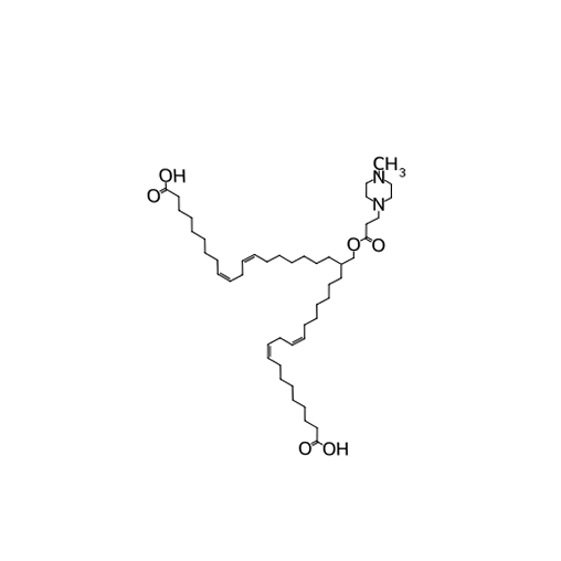 CN1CCN(CCC(=O)OCC(CCCCCC/C=C\C/C=C\CCCCCCCC(=O)O)CCCCCC/C=C\C/C=C\CCCCCCCC(=O)O)CC1